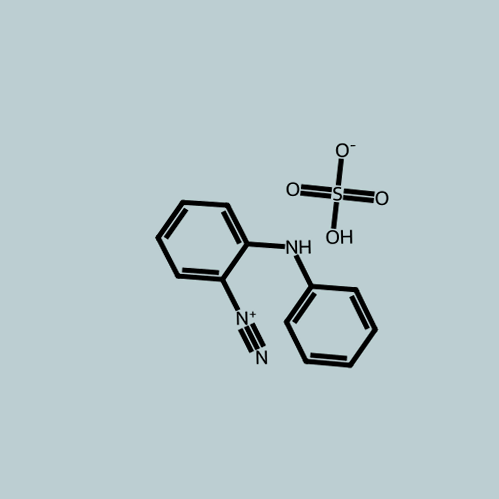 N#[N+]c1ccccc1Nc1ccccc1.O=S(=O)([O-])O